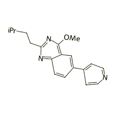 COc1nc(CCC(C)C)nc2ccc(-c3ccncc3)cc12